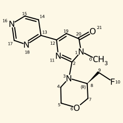 Cn1c(N2CCOC[C@@H]2CF)nc(-c2ccncn2)cc1=O